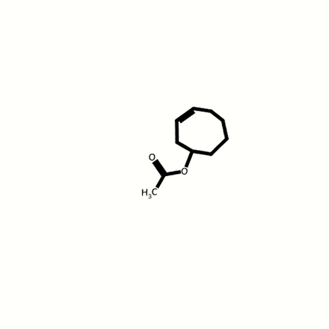 CC(=O)OC1C/C=C\CCCC1